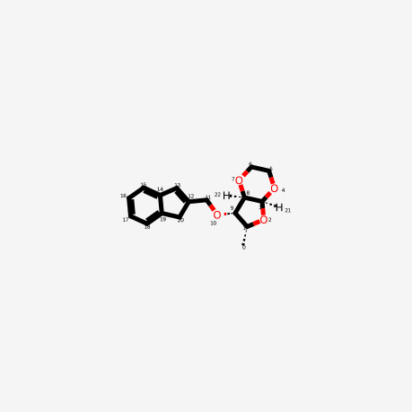 C[C@H]1O[C@@H]2OCCO[C@@H]2[C@H]1OCC1=Cc2ccccc2C1